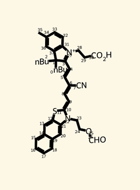 CCCCC1(CCCC)C(/C=C/C(C#N)=C/C=C2\Sc3cc4ccccc4cc3N2CCOC=O)=[N+](CCC(=O)O)c2ccc(C)cc21